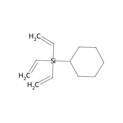 C=C[Si](C=C)(C=C)C1CCCCC1